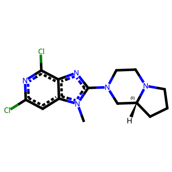 Cn1c(N2CCN3CCC[C@@H]3C2)nc2c(Cl)nc(Cl)cc21